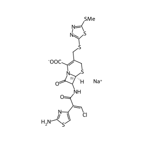 CSc1nnc(SCC2=C(C(=O)[O-])N3C(=O)C(NC(=O)C(=CCl)c4csc(N)n4)[C@@H]3SC2)s1.[Na+]